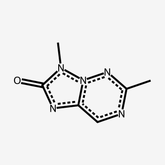 Cc1ncc2nc(=O)n(C)n2n1